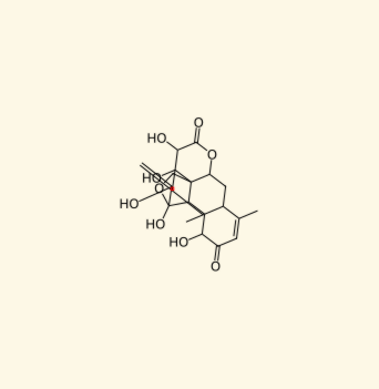 C=C1C(O)C2(O)OCC34C(CC5C(C)=CC(=O)C(O)C5(C)C23)OC(=O)C(O)C14O